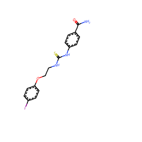 NC(=O)c1ccc(NC(=S)NCCOc2ccc(I)cc2)cc1